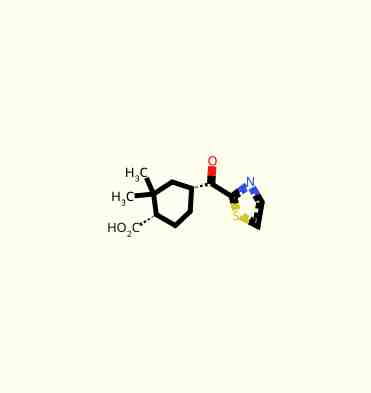 CC1(C)C[C@H](C(=O)c2nccs2)CC[C@@H]1C(=O)O